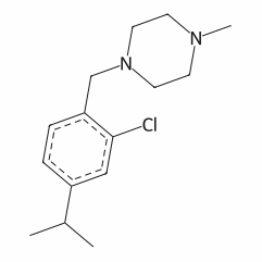 CC(C)c1ccc(CN2CCN(C)CC2)c(Cl)c1